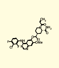 C=CC(=O)N1CC[C@H](C(CC)Oc2cc3c(Nc4ccc(F)c(Cl)c4F)ncnc3cc2OC)C[C@H]1C(N)=O